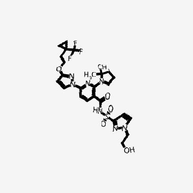 CC1(C)CCCN1c1nc(-n2ccc(OCCC3(C(F)(F)F)CC3)n2)ccc1C(=O)NS(=O)(=O)c1ccn(CCO)n1